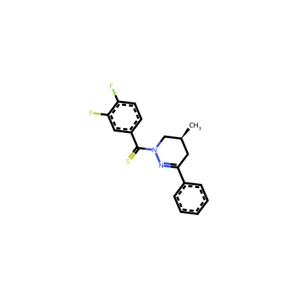 C[C@H]1CC(c2ccccc2)=NN(C(=S)c2ccc(F)c(F)c2)C1